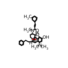 Cc1cccc(C#CC(=O)N(C)[C@@H]2CC[C@H]3[C@H]4Cc5c(N(C)C)cc(O)c6c5[C@@]3(CCN4CCc3ccccc3)[C@H]2O6)c1